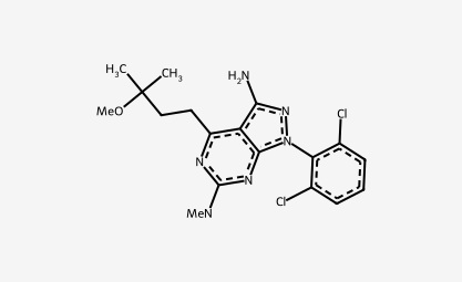 CNc1nc(CCC(C)(C)OC)c2c(N)nn(-c3c(Cl)cccc3Cl)c2n1